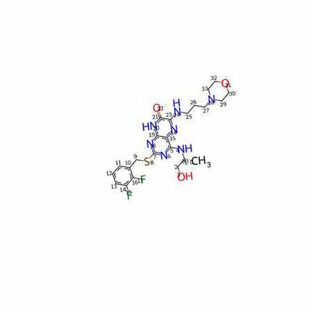 C[C@H](CO)Nc1nc(SCc2cccc(F)c2F)nc2[nH]c(=O)c(NCCCN3CCOCC3)nc12